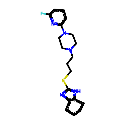 Fc1cccc(N2CCN(CCCSc3nc4ccccc4[nH]3)CC2)n1